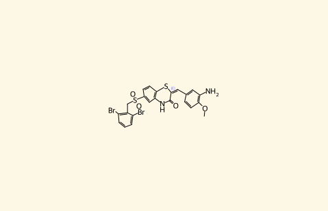 COc1ccc(/C=C2/Sc3ccc(S(=O)(=O)Cc4c(Br)cccc4Br)cc3NC2=O)cc1N